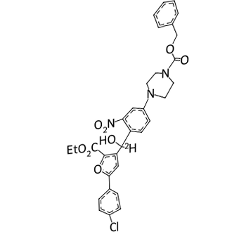 [2H]C(O)(c1ccc(N2CCN(C(=O)OCc3ccccc3)CC2)cc1[N+](=O)[O-])c1cc(-c2ccc(Cl)cc2)oc1C(=O)OCC